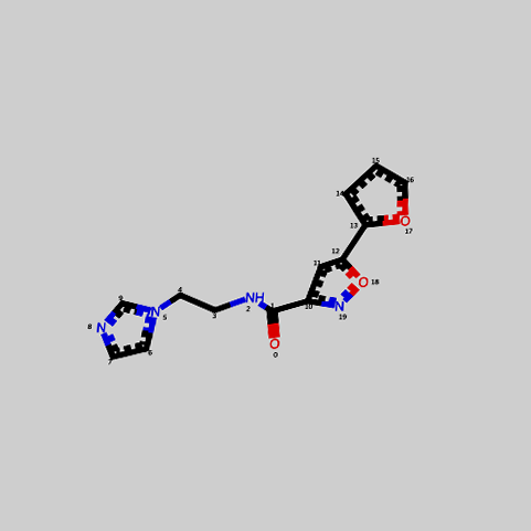 O=C(NCCn1ccnc1)c1cc(-c2ccco2)on1